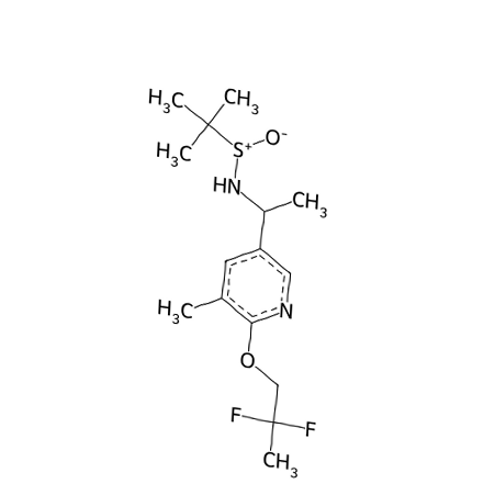 Cc1cc(C(C)N[S+]([O-])C(C)(C)C)cnc1OCC(C)(F)F